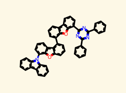 c1ccc(-c2nc(-c3ccccc3)nc(-c3cccc4c3oc3c(-c5cccc6oc7c(-n8c9ccccc9c9ccccc98)cccc7c56)cccc34)n2)cc1